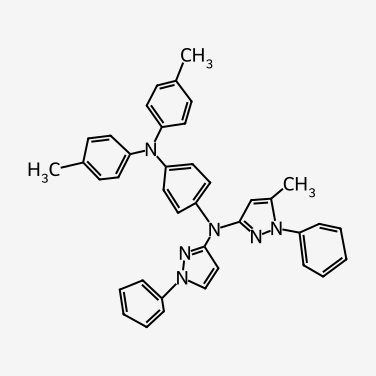 Cc1ccc(N(c2ccc(C)cc2)c2ccc(N(c3ccn(-c4ccccc4)n3)c3cc(C)n(-c4ccccc4)n3)cc2)cc1